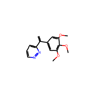 C=C(c1cc(OC)c(OC)c(OC)c1)c1cccnn1